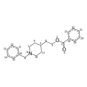 O=C(OCCC1CCN(Cc2ccccc2)CC1)c1ccccc1